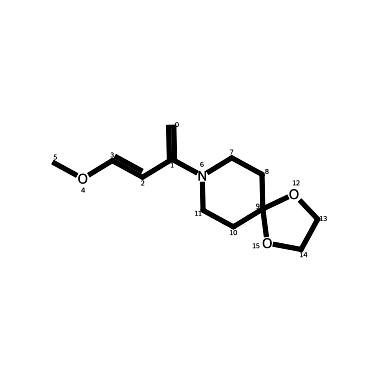 C=C(/C=C/OC)N1CCC2(CC1)OCCO2